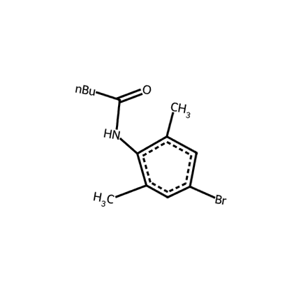 CCCCC(=O)Nc1c(C)cc(Br)cc1C